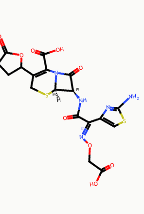 Nc1nc(/C(=N\OCC(=O)O)C(=O)N[C@@H]2C(=O)N3C(C(=O)O)=C(C4CCC(=O)O4)CS[C@H]23)cs1